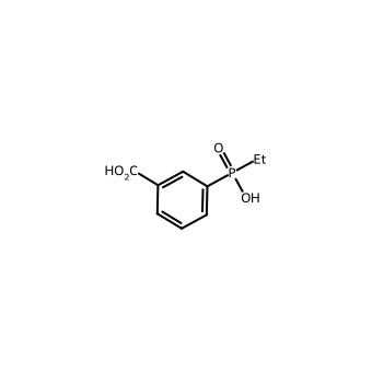 CCP(=O)(O)c1cccc(C(=O)O)c1